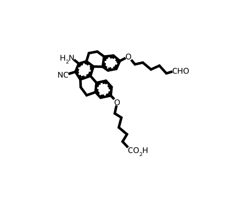 N#Cc1c(N)c2c(c3c1CCc1cc(OCCCCCC(=O)O)ccc1-3)-c1ccc(OCCCCCC=O)cc1CC2